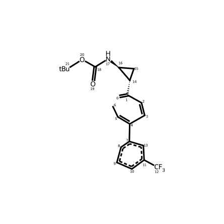 C=C(/C=C\C(=C/C)c1cccc(C(F)(F)F)c1)[C@H]1C[C@@H]1NC(=O)OC(C)(C)C